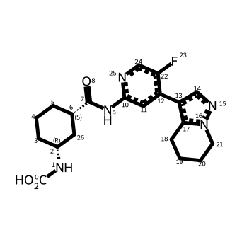 O=C(O)N[C@@H]1CCC[C@H](C(=O)Nc2cc(-c3cnn4c3CCCC4)c(F)cn2)C1